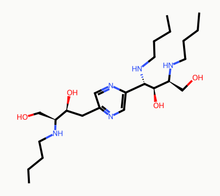 CCCCN[C@@H](CO)[C@@H](O)[C@@H](NCCCC)c1cnc(C[C@H](O)[C@H](CO)NCCCC)cn1